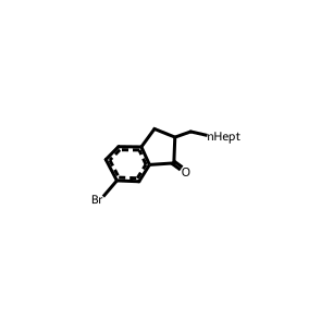 CCCCCCCCC1Cc2ccc(Br)cc2C1=O